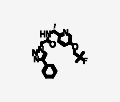 C[C@@H](NC(=O)Cn1cc(-c2ccccc2)nn1)c1ccc(OCC(C)(C)F)cn1